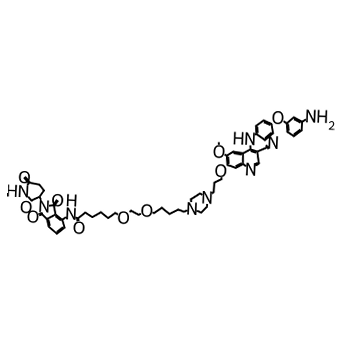 COc1cc2c(Nc3ccc(Oc4cccc(N)c4)cc3)c(C#N)cnc2cc1OCCCN1CCN(CCCCCOCCOCCCCCC(=O)Nc2cccc3c2C(=O)N(C2CCC(=O)NC2=O)C3=O)CC1